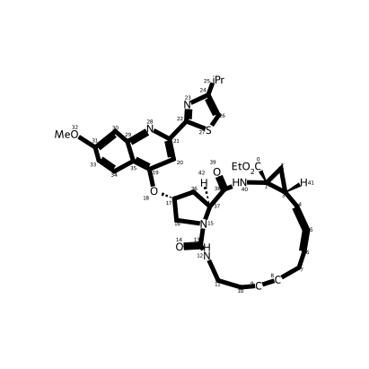 CCOC(=O)[C@@]12C[C@@H]1C=C=CCCCCCNC(=O)N1C[C@H](Oc3cc(-c4nc(C(C)C)cs4)nc4cc(OC)ccc34)C[C@H]1C(=O)N2